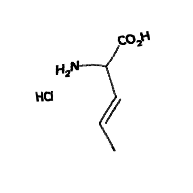 C/C=C/C(N)C(=O)O.Cl